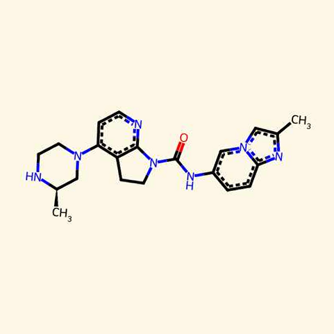 Cc1cn2cc(NC(=O)N3CCc4c(N5CCN[C@H](C)C5)ccnc43)ccc2n1